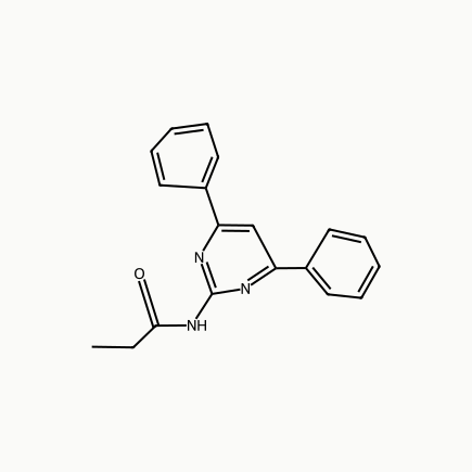 CCC(=O)Nc1nc(-c2ccccc2)cc(-c2ccccc2)n1